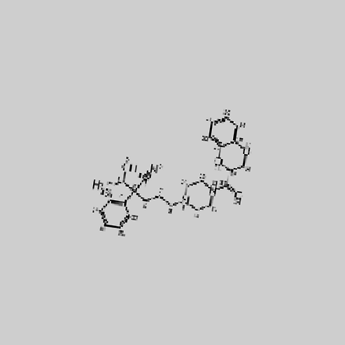 CC(C)C(C#N)(CCCN1CCN(C(=O)C2COc3ccccc3O2)CC1)c1ccccc1